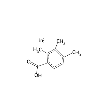 Cc1ccc(C(=O)O)c(C)c1C.[In]